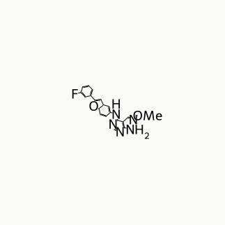 CO/N=C/c1c(N)ncnc1NC1=CC2C=C(c3cccc(F)c3)OC2C=C1